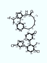 C[C@@H]1CCC[C@H](c2coc(-c3c(-n4cc(Cl)nn4)ccc(Cl)c3F)cc2=O)c2cc(ccn2)-c2c(cnn2C(F)F)NC1=O